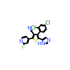 N#Cc1c(-c2ccnc(F)c2)sc(-c2cnc[nH]2)c1-c1ccc(Cl)cc1Cl